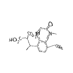 COc1ccc(C(C)C(C(=O)O)C(=O)O)c2ccc(=O)n(C)c12